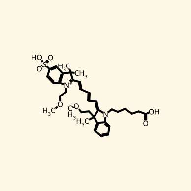 COCC[N+]1=C(/C=C/C=C/C=C2/N(CCCCCC(=O)O)c3ccccc3C2(C)CCOC)C(C)(C)c2cc(S(=O)(=O)O)ccc21